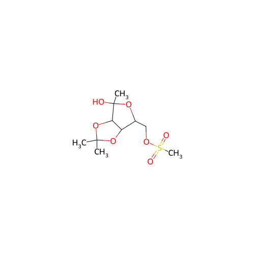 CC1(C)OC2C(COS(C)(=O)=O)OC(C)(O)C2O1